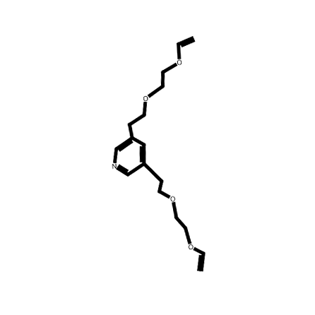 C=COCCOCCc1cncc(CCOCCOC=C)c1